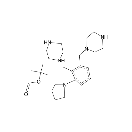 C1CNCCN1.CC(C)(C)OC=O.Cc1c(CN2CCNCC2)cccc1N1CCCC1